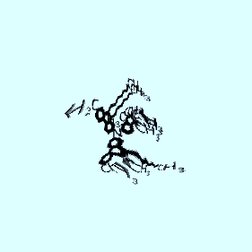 CCCCCCCCc1c(C)c2cc(C)ccc2c2ccc(N(c3ccc4c(c3)C(C)(C)C(C)(C)C4(C)C)c3ccc4c(c3)c(CCCCCCCC)c(CCCCCCCC)c3cc(C)ccc34)cc12